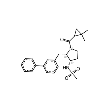 CC1(C)CC1C(=O)N1CC[C@H](NS(C)(=O)=O)[C@@H]1Cc1cccc(-c2ccccc2)c1